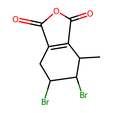 CC1C2=C(CC(Br)C1Br)C(=O)OC2=O